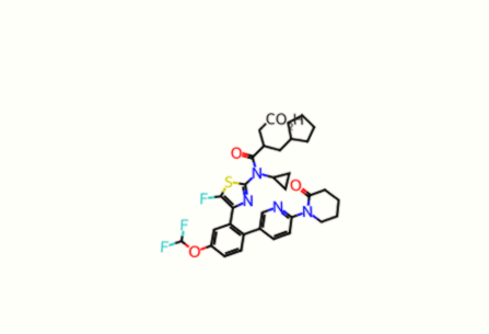 O=C(O)CC(CC1CCCC1)C(=O)N(c1nc(-c2cc(OC(F)F)ccc2-c2ccc(N3CCCCC3=O)nc2)c(F)s1)C1CC1